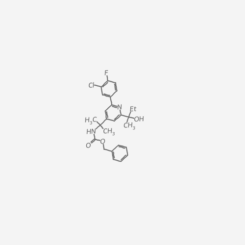 CCC(C)(O)c1cc(C(C)(C)NC(=O)OCc2ccccc2)cc(-c2ccc(F)c(Cl)c2)n1